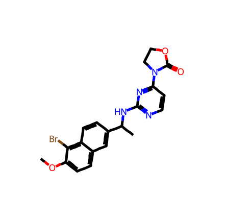 COc1ccc2cc(C(C)Nc3nccc(N4CCOC4=O)n3)ccc2c1Br